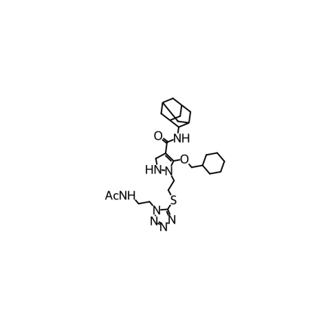 CC(=O)NCCn1nnnc1SCCN1NCC(C(=O)NC2C3CC4CC(C3)CC2C4)=C1OCC1CCCCC1